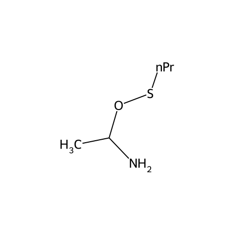 CCCSOC(C)N